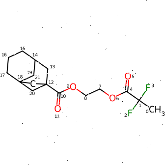 CC(F)(F)C(=O)OCCOC(=O)C12CC3CCCC(C3)(C1)C2